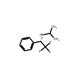 CC(C)N[C@@H](c1ccccc1)C(F)(F)F